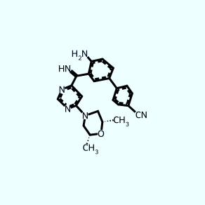 C[C@@H]1CN(c2cc(C(=N)c3cc(-c4ccc(C#N)cc4)ccc3N)ncn2)C[C@H](C)O1